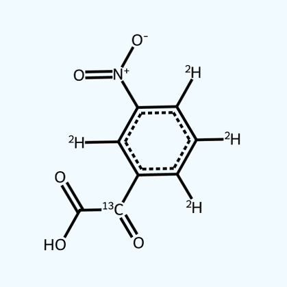 [2H]c1c([2H])c([13C](=O)C(=O)O)c([2H])c([N+](=O)[O-])c1[2H]